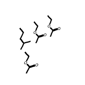 CCCC(C)C.CCOC(C)=O.CCOC(C)=O.CCOC(C)=O